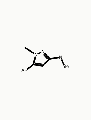 CC(=O)c1cc(NC(C)C)nn1C